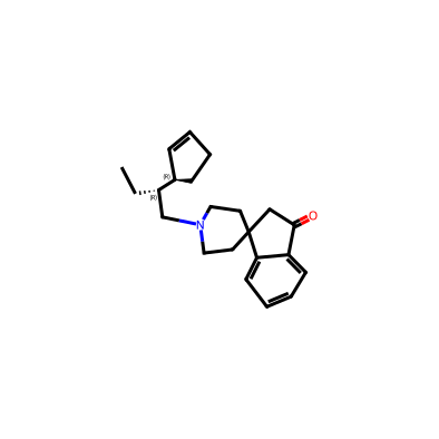 CC[C@@H](CN1CCC2(CC1)CC(=O)c1ccccc12)[C@H]1C=CCC1